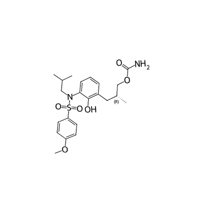 COc1ccc(S(=O)(=O)N(CC(C)C)c2cccc(C[C@@H](C)COC(N)=O)c2O)cc1